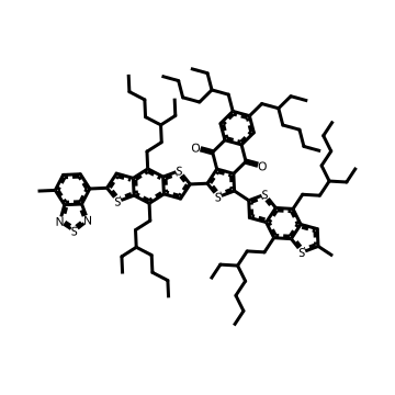 CCCCC(CC)CCc1c2cc(-c3sc(-c4cc5c(CCC(CC)CCCC)c6sc(-c7ccc(C)c8nsnc78)cc6c(CCC(CC)CCCC)c5s4)c4c3C(=O)c3cc(CC(CC)CCCC)c(CC(CC)CCCC)cc3C4=O)sc2c(CCC(CC)CCCC)c2cc(C)sc12